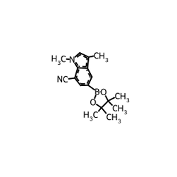 Cc1cn(C)c2c(C#N)cc(B3OC(C)(C)C(C)(C)O3)cc12